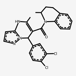 CC1=C(C(=O)N2c3ccccc3CCC2C)C(c2ccc(Cl)c(Cl)c2)n2nccc2N1